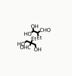 CCC(C=O)(CO)CO.CCC(C=O)C(O)O